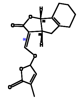 CC1=CC(O/C=C2/C(=O)O[C@@H]3C4=C(CCCC4)C[C@H]23)OC1=O